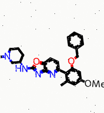 COc1cc(C)c(-c2ccc3oc(N[C@@H]4CCCN(C)C4)nc3n2)c(OCc2ccccc2)c1